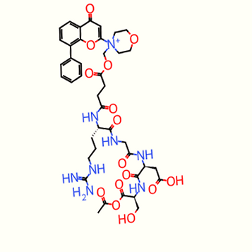 CC(=O)OC(=O)[C@H](CO)NC(=O)[C@H](CC(=O)O)NC(=O)CNC(=O)[C@H](CCCNC(=N)N)NC(=O)CCC(=O)OC[N+]1(c2cc(=O)c3cccc(-c4ccccc4)c3o2)CCOCC1